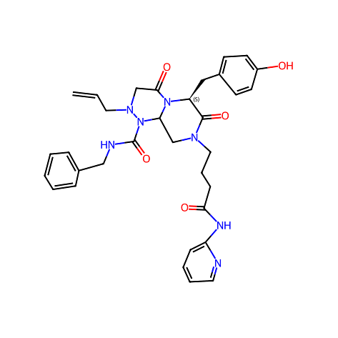 C=CCN1CC(=O)N2C(CN(CCCC(=O)Nc3ccccn3)C(=O)[C@@H]2Cc2ccc(O)cc2)N1C(=O)NCc1ccccc1